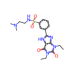 CCn1c(=O)c2[nH]c(-c3cccc(S(=O)(=O)NCCN(C)C)c3)nc2n(CC)c1=O